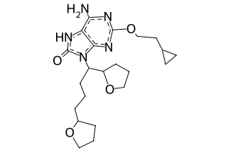 Nc1nc(OCCC2CC2)nc2c1[nH]c(=O)n2C(CCCC1CCCO1)C1CCCO1